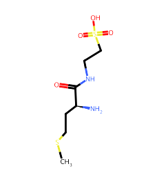 CSCC[C@H](N)C(=O)NCCS(=O)(=O)O